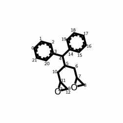 c1ccc(C([C](CC2CO2)CC2CO2)c2ccccc2)cc1